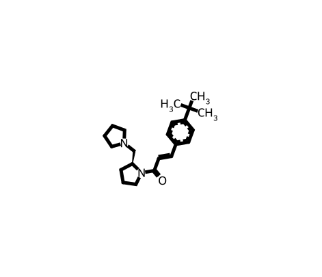 CC(C)(C)c1ccc(/C=C/C(=O)N2CCC[C@H]2CN2CCCC2)cc1